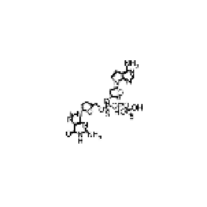 Nc1nc2c(nnn2[C@H]2CC[C@@H](COP(O)(=S)OC3C[C@H](n4ccc5c(N)ncnc54)O[C@@H]3COP(O)(O)=S)O2)c(=O)[nH]1